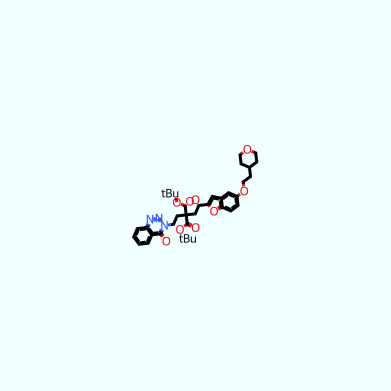 CC(C)(C)OC(=O)C(CCn1nnc2ccccc2c1=O)(CC(=O)c1cc2cc(OCCC3CCOCC3)ccc2o1)C(=O)OC(C)(C)C